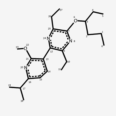 CCCC(CC)Oc1nc(CC)c(-c2ccc(C(C)C)nc2OC)nc1CC